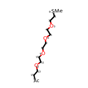 CSCCOCCOCCOCCOCCC(C)=O